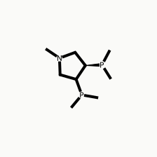 CN1CC(P(C)C)[C@H](P(C)C)C1